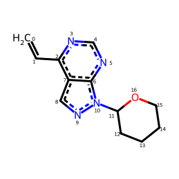 C=Cc1ncnc2c1cnn2C1CCCCO1